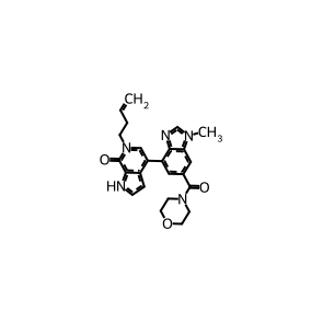 C=CCCn1cc(-c2cc(C(=O)N3CCOCC3)cc3c2ncn3C)c2cc[nH]c2c1=O